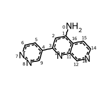 Nc1cc(-c2ccnnc2)nc2cnccc12